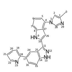 Cc1cn(-c2cccc3[nH]c(-c4n[nH]c5ccc(-c6ccccn6)cc45)cc23)cn1